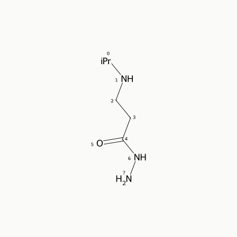 CC(C)NCCC(=O)NN